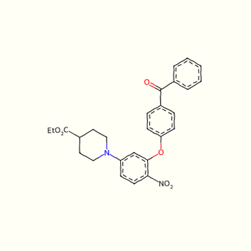 CCOC(=O)C1CCN(c2ccc([N+](=O)[O-])c(Oc3ccc(C(=O)c4ccccc4)cc3)c2)CC1